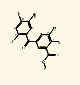 COC(=O)c1cc(C(=O)c2cc(Br)c(F)cc2F)cc(Br)c1C